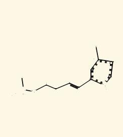 CC(C)(C)[S@+]([O-])NCCC=Cc1cc(Cl)ccn1